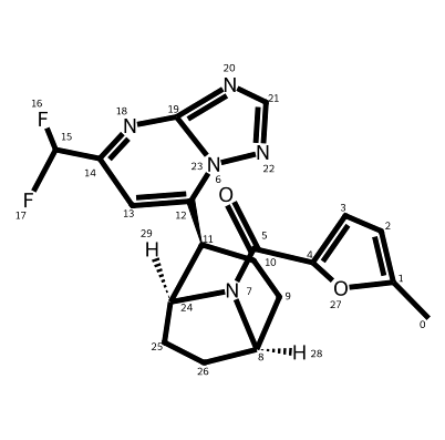 Cc1ccc(C(=O)N2[C@H]3CC[C@H](c4cc(C(F)F)nc5ncnn45)[C@@H]2CC3)o1